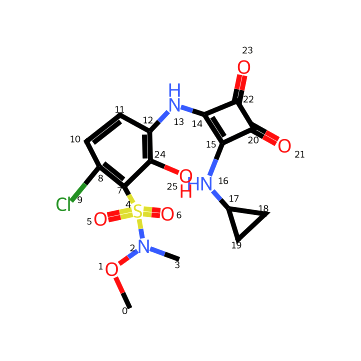 CON(C)S(=O)(=O)c1c(Cl)ccc(Nc2c(NC3CC3)c(=O)c2=O)c1O